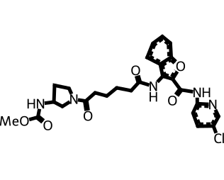 COC(=O)NC1CCN(C(=O)CCCCC(=O)Nc2c(C(=O)Nc3ccc(Cl)cn3)oc3ccccc23)C1